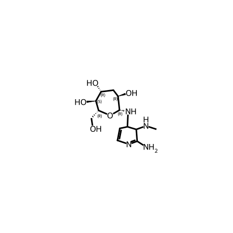 CNC1C(N)=NC=CC1N[C@@H]1O[C@H](CO)[C@@H](O)[C@H](O)C[C@H]1O